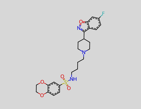 O=S(=O)(NCCCCN1CCC(c2noc3cc(F)ccc23)CC1)c1ccc2c(c1)OCCO2